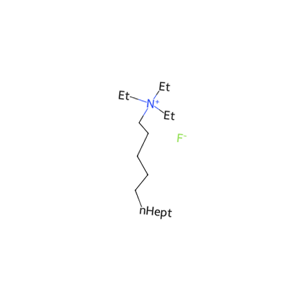 CCCCCCCCCCCC[N+](CC)(CC)CC.[F-]